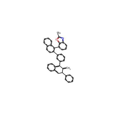 C=C1C(c2cccc(-c3ccc4ccccc4c3-c3cccc4nc(C(C)(C)C)oc34)c2)=c2ccccc2=CC1c1ccccc1